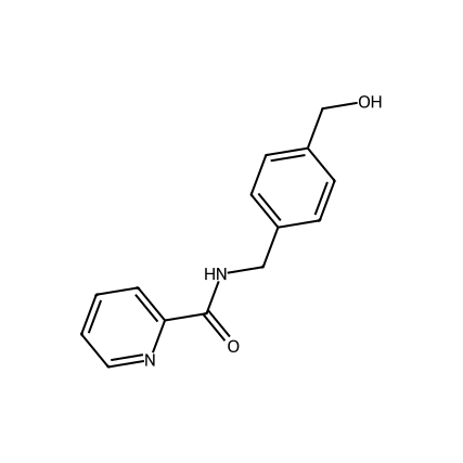 O=C(NCc1ccc(CO)cc1)c1ccccn1